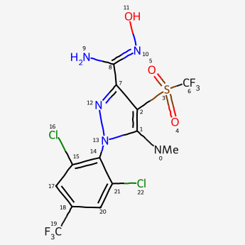 CNc1c(S(=O)(=O)C(F)(F)F)c(C(N)=NO)nn1-c1c(Cl)cc(C(F)(F)F)cc1Cl